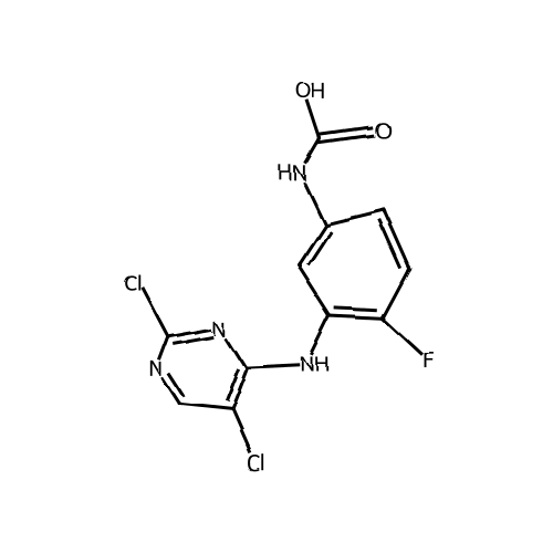 O=C(O)Nc1ccc(F)c(Nc2nc(Cl)ncc2Cl)c1